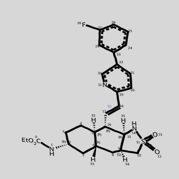 CCOC(=O)N[C@@H]1CC[C@@H]2[C@@H](C1)C[C@@H]1CS(=O)(=O)N[C@@H]1[C@H]2/C=C/c1ccc(-c2cccc(F)c2)cn1